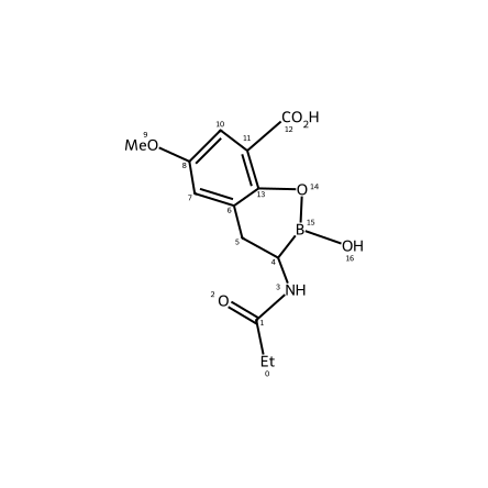 CCC(=O)NC1Cc2cc(OC)cc(C(=O)O)c2OB1O